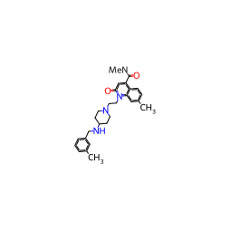 CNC(=O)c1cc(=O)n(CCN2CCC(NCc3cccc(C)c3)CC2)c2cc(C)ccc12